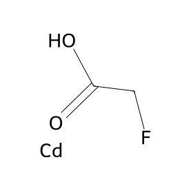 O=C(O)CF.[Cd]